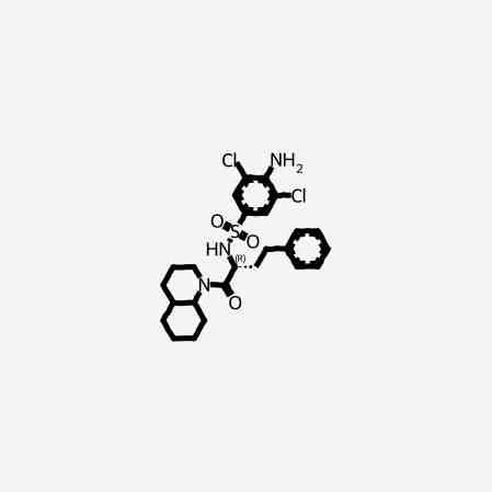 Nc1c(Cl)cc(S(=O)(=O)N[C@H](CCc2ccccc2)C(=O)N2CCCC3CCCCC32)cc1Cl